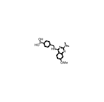 COc1ccc2c(NCc3ccc(B(O)O)cc3)nc(N(C)C)nc2c1